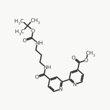 COC(=O)c1ccnc(-c2cc(C(=O)NCCCNC(=O)OC(C)(C)C)ccn2)c1